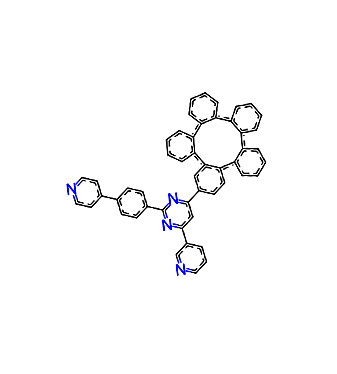 c1cncc(-c2cc(-c3ccc4c5ccccc5c5ccccc5c5ccccc5c5ccccc5c4c3)nc(-c3ccc(-c4ccncc4)cc3)n2)c1